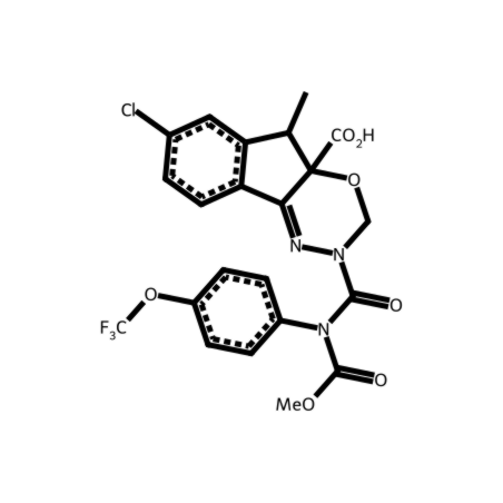 COC(=O)N(C(=O)N1COC2(C(=O)O)C(=N1)c1ccc(Cl)cc1C2C)c1ccc(OC(F)(F)F)cc1